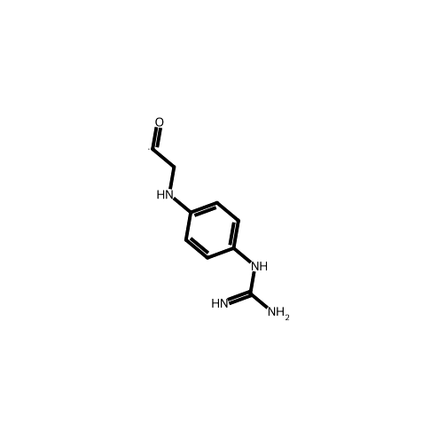 N=C(N)Nc1ccc(NC[C]=O)cc1